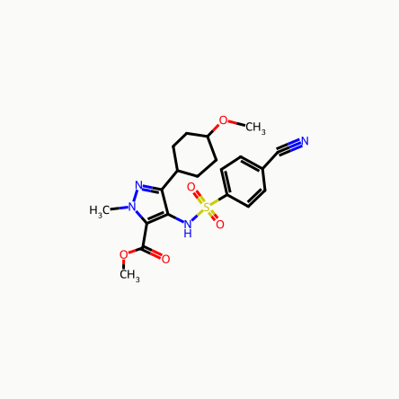 COC(=O)c1c(NS(=O)(=O)c2ccc(C#N)cc2)c(C2CCC(OC)CC2)nn1C